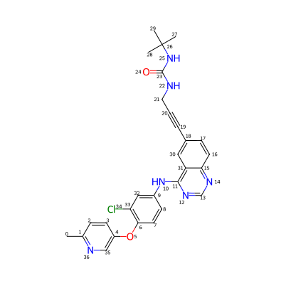 Cc1ccc(Oc2ccc(Nc3ncnc4ccc(C#CCNC(=O)NC(C)(C)C)cc34)cc2Cl)cn1